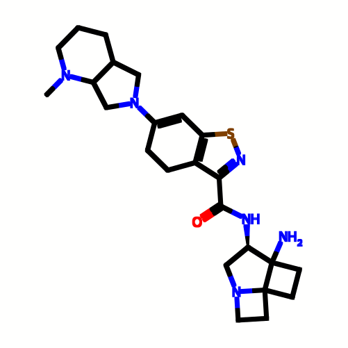 CN1CCCC2CN(C3=Cc4snc(C(=O)N[C@@H]5CN6CCC67CCC57N)c4CC3)CC21